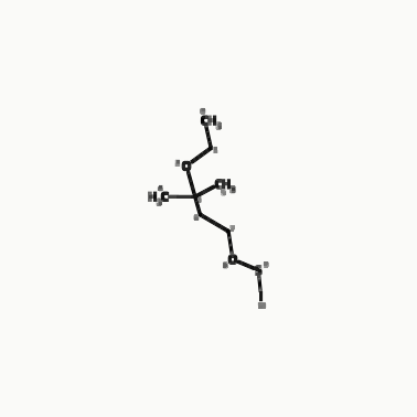 CCOC(C)(C)CCOSI